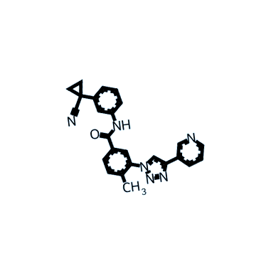 Cc1ccc(C(=O)Nc2cccc(C3(C#N)CC3)c2)cc1-n1cc(-c2cccnc2)nn1